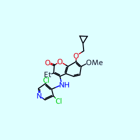 CCc1c(Nc2c(Cl)cncc2Cl)c2ccc(OC)c(OCC3CC3)c2oc1=O